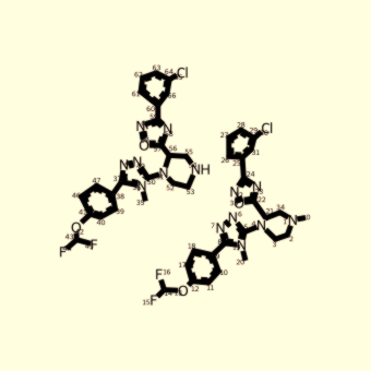 CN1CCN(c2nnc(-c3ccc(OC(F)F)cc3)n2C)C(c2nc(-c3cccc(Cl)c3)no2)C1.Cn1c(-c2ccc(OC(F)F)cc2)nnc1N1CCNCC1c1nc(-c2cccc(Cl)c2)no1